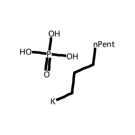 CCCCCCC[CH2][K].O=P(O)(O)O